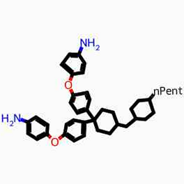 CCCCCC1CCC(CC2CCC(c3ccc(Oc4ccc(N)cc4)cc3)(c3ccc(Oc4ccc(N)cc4)cc3)CC2)CC1